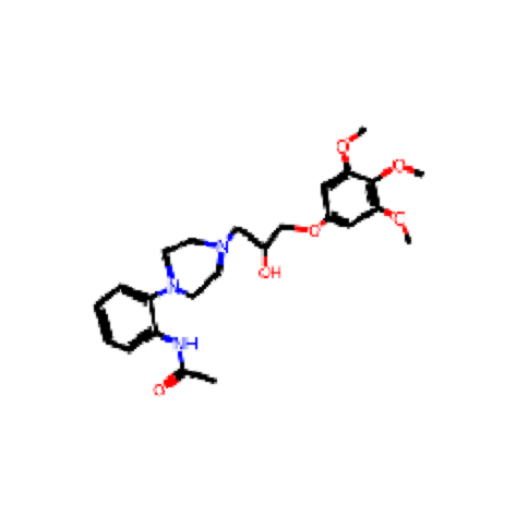 COc1cc(OCC(O)CN2CCN(c3ccccc3NC(C)=O)CC2)cc(OC)c1OC